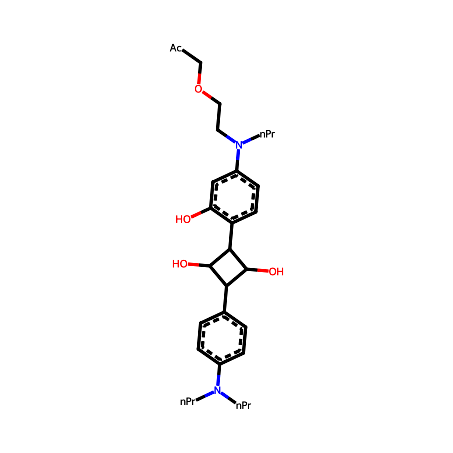 CCCN(CCC)c1ccc(C2C(O)C(c3ccc(N(CCC)CCOCC(C)=O)cc3O)C2O)cc1